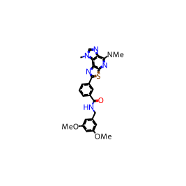 CNc1nc2sc(-c3cccc(C(=O)NCc4cc(OC)cc(OC)c4)c3)nc2c2c1ncn2C